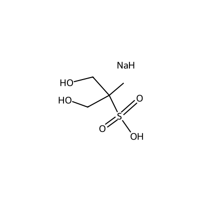 CC(CO)(CO)S(=O)(=O)O.[NaH]